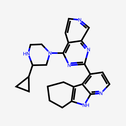 c1cc2c(N3CCNC(C4CC4)C3)nc(-c3ccnc4[nH]c5c(c34)CCCC5)nc2cn1